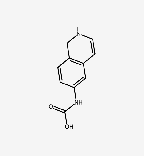 O=C(O)Nc1ccc2c(c1)C=CNC2